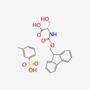 Cc1cccc(S(=O)(=O)O)c1.O=C(N[C@@H](CO)C(=O)O)OCC1c2ccccc2-c2ccccc21